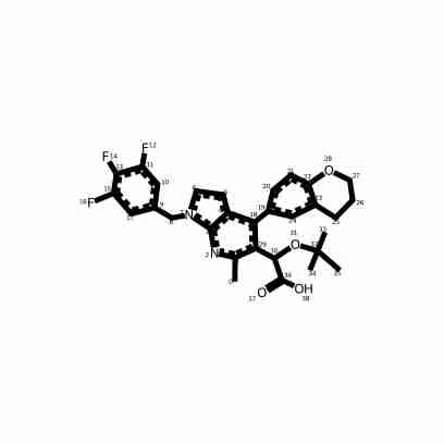 Cc1nc2c(ccn2Cc2cc(F)c(F)c(F)c2)c(-c2ccc3c(c2)CCCO3)c1C(OC(C)(C)C)C(=O)O